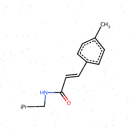 Cc1ccc(C=CC(=O)NCC(C)C)cc1